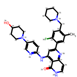 Cc1cc(-c2cc(Nc3ccc(N4CCC(O)CC4)cn3)c3c(=O)[nH]ccc3n2)c(F)cc1CN1CCCCC1